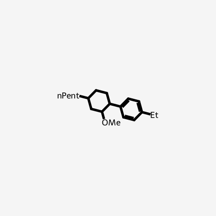 CCCCCC1CCC(c2ccc(CC)cc2)C(OC)C1